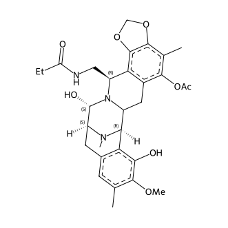 CCC(=O)NC[C@H]1c2c(c(OC(C)=O)c(C)c3c2OCO3)CC2[C@H]3c4c(cc(C)c(OC)c4O)C[C@@H]([C@H](O)N21)N3C